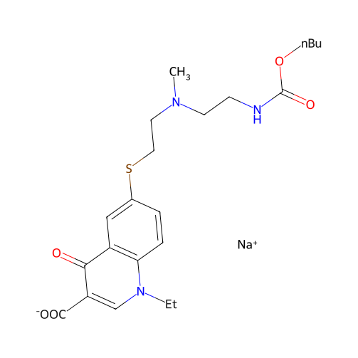 CCCCOC(=O)NCCN(C)CCSc1ccc2c(c1)c(=O)c(C(=O)[O-])cn2CC.[Na+]